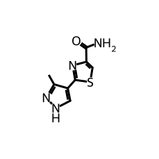 Cc1n[nH]cc1-c1nc(C(N)=O)cs1